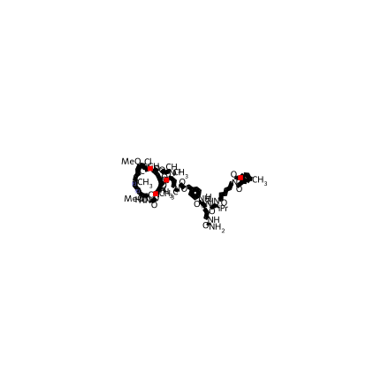 COc1cc2cc(c1Cl)N(C)C(=O)C[C@H](OC(=O)[C@H](C)N(C)C(=O)CCN(C)C(=O)OCc1ccc(NC(=O)[C@H](CCCNC(N)=O)NC(=O)[C@@H](NC(=O)CCCCCN3C(=O)C4C5C=C(C)C(C5)C4C3=O)C(C)C)cc1)[C@]1(C)O[C@H]1[C@H](C)[C@@H]1C[C@@](O)(NC(=O)O1)[C@H](OC)/C=C/C=C(\C)C2